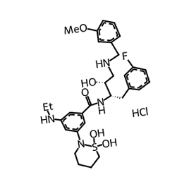 CCNc1cc(C(=O)N[C@@H](Cc2cccc(F)c2)[C@H](O)CNCc2cccc(OC)c2)cc(N2CCCCS2(O)O)c1.Cl